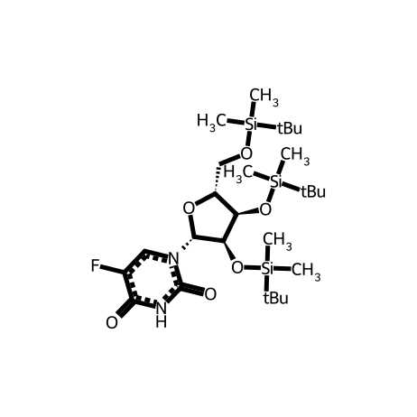 CC(C)(C)[Si](C)(C)OC[C@H]1O[C@@H](n2cc(F)c(=O)[nH]c2=O)[C@H](O[Si](C)(C)C(C)(C)C)[C@@H]1O[Si](C)(C)C(C)(C)C